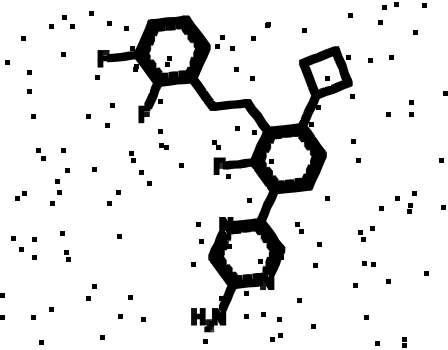 Nc1cnc(-c2ccc(C3CCC3)c(CCc3cccc(F)c3F)c2F)cn1